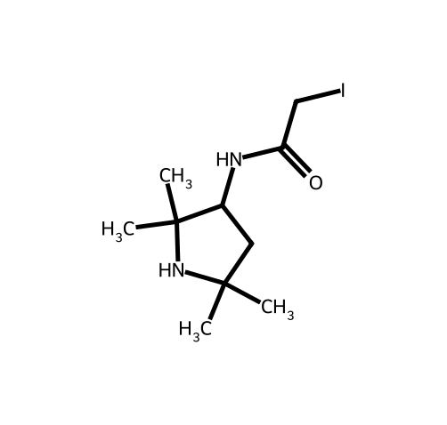 CC1(C)CC(NC(=O)CI)C(C)(C)N1